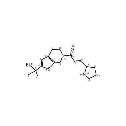 CCC(C)(C)c1cc2c(s1)CN(C(=O)/C=C/C1CCCN1)CC2